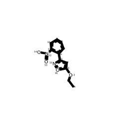 CCOc1cc(-c2ccccc2[N+](=O)[O-])no1